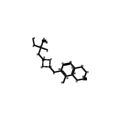 CCC(C)(N)CN1CC(Cc2ccc3c(c2C)CBCC3)C1